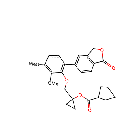 COc1ccc(-c2ccc3c(c2)COC3=O)c(OCC2(OC(=O)C3CCCC3)CC2)c1OC